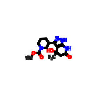 CC(C)(C)OC(=O)N1CCC[C@@H](c2n[nH]c3c2C(O)(C(F)(F)F)CC(=O)N3)C1